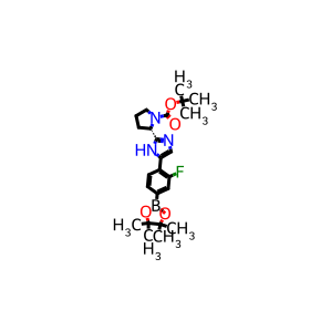 CC(C)(C)OC(=O)N1CCC[C@H]1c1ncc(-c2ccc(B3OC(C)(C)C(C)(C)O3)cc2F)[nH]1